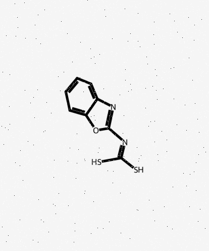 SC(S)=Nc1nc2ccccc2o1